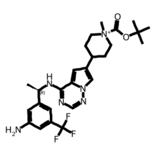 C[C@@H](Nc1ncnn2cc(C3CC[N+](C)(C(=O)OC(C)(C)C)CC3)cc12)c1cc(N)cc(C(F)(F)F)c1